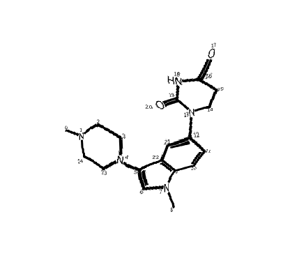 CN1CCN(c2cn(C)c3ccc(N4CCC(=O)NC4=O)cc23)CC1